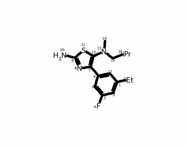 CCc1cc(F)cc(-c2nc(N)sc2N(C)CC(C)C)c1